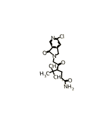 CC(C)(C)C(CCC(N)=O)C(=O)CN1Cc2cc(Cl)ncc2C1=O